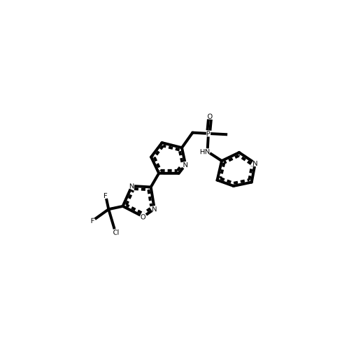 CP(=O)(Cc1ccc(-c2noc(C(F)(F)Cl)n2)cn1)Nc1cccnc1